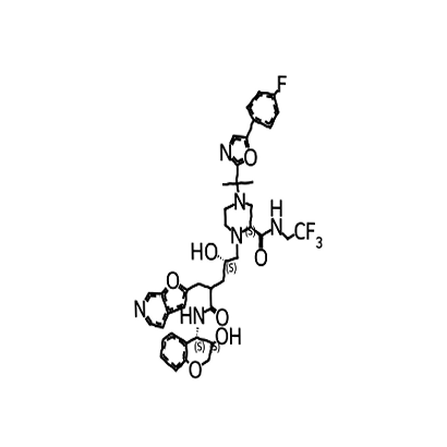 CC(C)(c1ncc(-c2ccc(F)cc2)o1)N1CCN(C[C@@H](O)CC(Cc2cc3ccncc3o2)C(=O)N[C@H]2c3ccccc3OC[C@H]2O)[C@H](C(=O)NCC(F)(F)F)C1